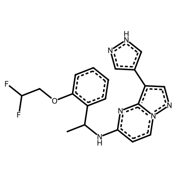 CC(Nc1ccn2ncc(-c3cn[nH]c3)c2n1)c1ccccc1OCC(F)F